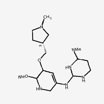 CNC1CCNC(NC2=CC(OC[C@@H]3CCN(C)C3)C(OC)NC2)N1